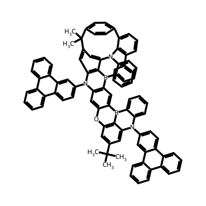 CC(C)(C)c1cc2c3c(c1)N(c1ccc4c5ccccc5c5ccccc5c4c1)c1ccccc1B3c1cc3c(cc1O2)N(c1ccc2c4ccccc4c4ccccc4c2c1)c1cc2cc4c1B3c1ccccc1N4c1c(-c3ccccc3)cccc1-c1ccc(cc1)C2(C)C